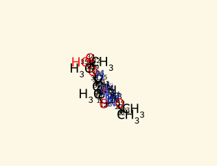 C\C=C(/C=C\C1=N\[Si](C)(C)CCOCn2nc1nc2OCC(C)C)c1cnc(OCC(C)(C)C(=O)O)cc1C